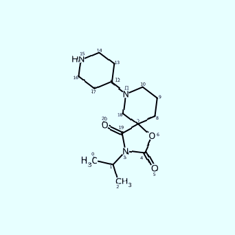 CC(C)N1C(=O)OC2(CCCN(C3CCNCC3)C2)C1=O